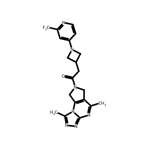 Cc1nc2nnc(C)n2c2c1CN(C(=O)CC1CN(c3ccnc(C(F)(F)F)c3)C1)C2